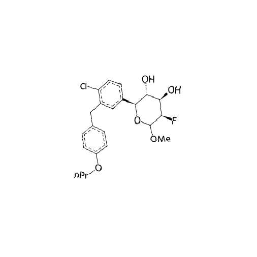 CCCOc1ccc(Cc2cc([C@@H]3OC(OC)[C@H](F)[C@H](O)[C@H]3O)ccc2Cl)cc1